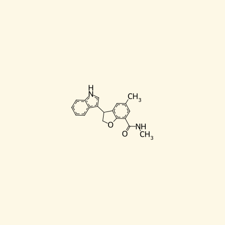 CNC(=O)c1cc(C)cc2c1OCC2c1c[nH]c2ccccc12